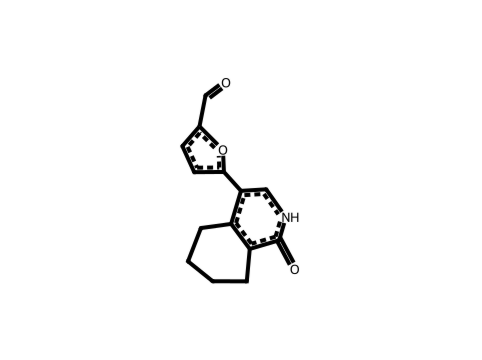 O=Cc1ccc(-c2c[nH]c(=O)c3c2CCCC3)o1